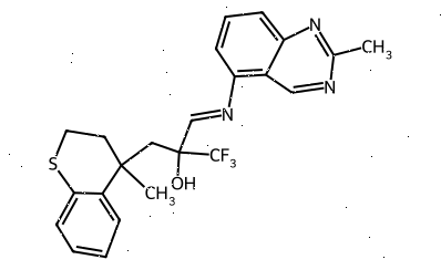 Cc1ncc2c(/N=C/C(O)(CC3(C)CCSc4ccccc43)C(F)(F)F)cccc2n1